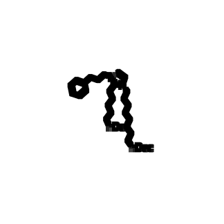 CCCCCCCCCCCCCCCCCCn1cc[n+](CCCc2ccccc2)c1CCCCCCCCCCCCCCC